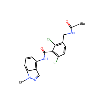 CCn1ncc2c(NC(=O)c3c(Cl)ccc(CNC(=O)C(C)(C)C)c3Cl)cccc21